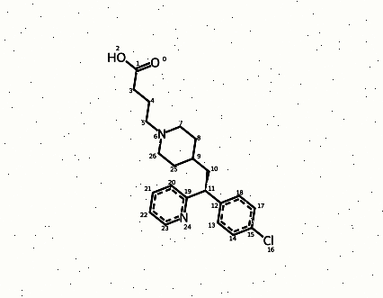 O=C(O)CCCN1CCC(C[C@@H](c2ccc(Cl)cc2)c2ccccn2)CC1